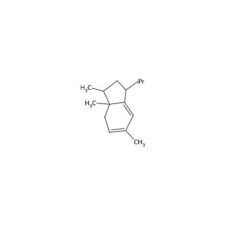 CC1=CCC2(C)C(=C1)C(C(C)C)CC2C